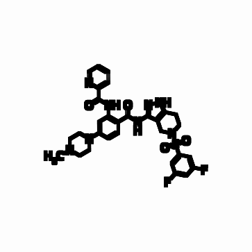 CN1CCN(c2ccc(C(=O)Nc3n[nH]c4c3CN(S(=O)(=O)c3cc(F)cc(F)c3)CC4)c(NC(=O)c3ccccn3)c2)CC1